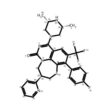 C[C@@H]1CN(c2nc(=O)n3c4c(c(-c5ccc(F)cc5)c(C(F)(F)F)cc24)SC[C@@H](c2ccccn2)C3)C[C@H](C)N1